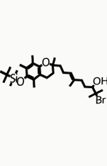 C/C(=C\CCC1(C)CCc2c(C)c(O[Si](C)(C)C(C)(C)C)c(C)c(C)c2O1)CCC(O)C(C)(C)Br